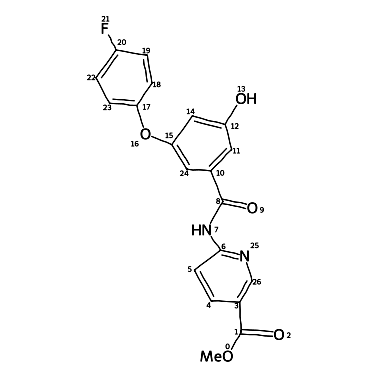 COC(=O)c1ccc(NC(=O)c2cc(O)cc(Oc3ccc(F)cc3)c2)nc1